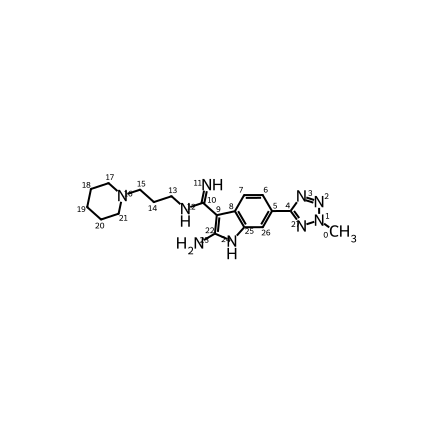 Cn1nnc(-c2ccc3c(C(=N)NCCCN4CCCCC4)c(N)[nH]c3c2)n1